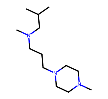 CC(C)CN(C)CCCN1CCN(C)CC1